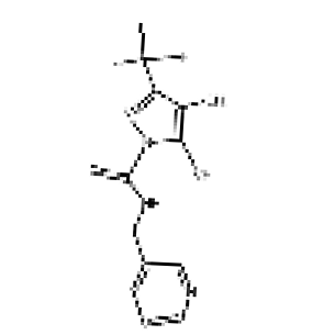 Cc1c(C(F)(F)F)nn(C(=O)NCc2cccnc2)c1C